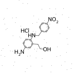 Cl.Nc1ccc(NCc2ccc([N+](=O)[O-])cc2)c(CCO)c1